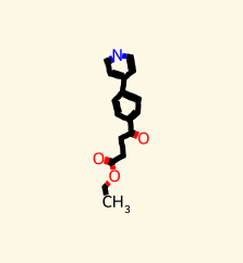 CCOC(=O)CCC(=O)c1ccc(-c2ccncc2)cc1